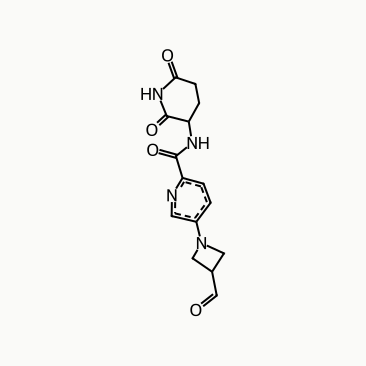 O=CC1CN(c2ccc(C(=O)NC3CCC(=O)NC3=O)nc2)C1